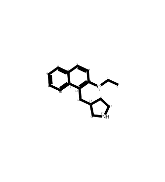 CCOc1ccc2ccccc2c1CC1CCNC1